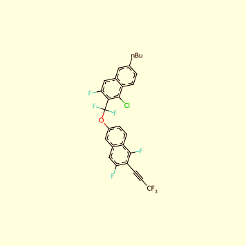 CCCCc1ccc2c(Cl)c(C(F)(F)Oc3ccc4c(F)c(C#CC(F)(F)F)c(F)cc4c3)c(F)cc2c1